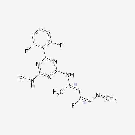 C=N/C=C(F)\C=C(/C)Nc1nc(NC(C)C)nc(-c2c(F)cccc2F)n1